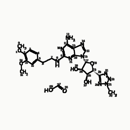 COc1ccc(CCNc2nc(N)c3ncn([C@@H]4O[C@H](c5nnn(C)n5)[C@@H](O)[C@H]4O)c3n2)cc1OC.O=CO